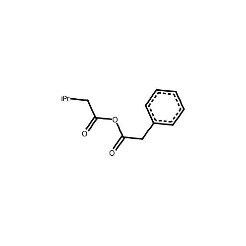 CC(C)CC(=O)OC(=O)Cc1ccccc1